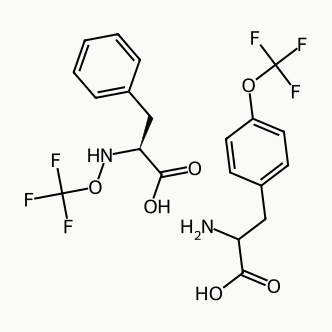 NC(Cc1ccc(OC(F)(F)F)cc1)C(=O)O.O=C(O)[C@H](Cc1ccccc1)NOC(F)(F)F